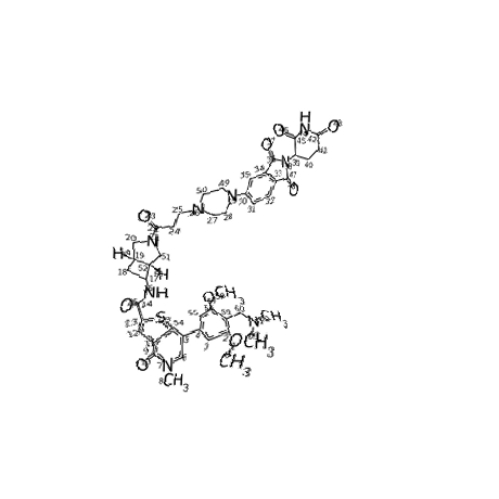 COc1cc(-c2cn(C)c(=O)c3cc(C(=O)NC4C[C@@H]5CN(C(=O)CCN6CCN(c7ccc8c(c7)C(=O)N(C7CCC(=O)NC7=O)C8=O)CC6)C[C@H]45)sc23)cc(OC)c1CN(C)C